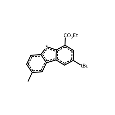 CCOC(=O)c1cc(C(C)(C)C)cc2c1sc1ccc(C)cc12